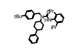 CC(C)c1cccc(C(C)C)c1NC(=O)N(Cc1ccc(C(C)(C)C)cc1)C1CCC(c2ccccc2)CC1